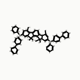 CC1=CC(N(c2ccccc2)c2ccc(-c3ccccc3)cc2)=CC2C1c1ccc3c(c1C2(C)C)C(C)(C)c1cc(N(c2ccccc2)c2ccc(-c4ccccc4)cc2)cc(C)c1-3